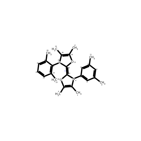 CC1=C(C)N(c2cc(C)cc(C)c2)/C(=C2\OC(C)=C(C)N2c2c(C)cccc2C)O1